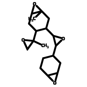 CC12CC(C3OC3C3CCC4OC4C3)C(C3(C)CO3)CC1O2